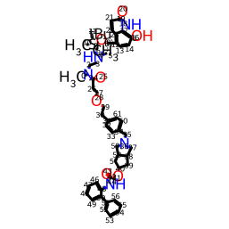 CN(CCNC[C@H](O[Si](C)(C)C(C)(C)C)c1ccc(O)c2[nH]c(=O)ccc12)C(=O)CCOCCc1ccc(CN2CC3CC(OC(=O)Nc4ccccc4-c4ccccc4)CC3C2)cc1